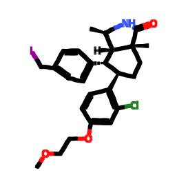 COCCOc1ccc([C@@H]2CC[C@@]3(C)C(=O)N[C@H](C)[C@H]3[C@H]2c2ccc(CI)cc2)c(Cl)c1